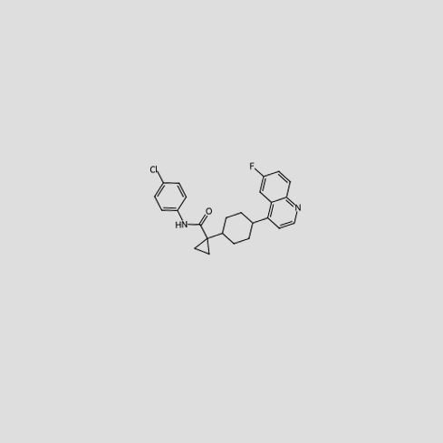 O=C(Nc1ccc(Cl)cc1)C1(C2CCC(c3ccnc4ccc(F)cc34)CC2)CC1